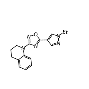 CCn1cc(-c2nc(N3CCCc4ccccc43)no2)cn1